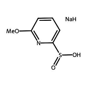 COc1cccc(S(=O)O)n1.[NaH]